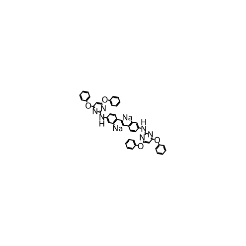 [Na][c]1cc(Nc2nc(Oc3ccccc3)cc(Oc3ccccc3)n2)ccc1C=Cc1ccc(Nc2nc(Oc3ccccc3)cc(Oc3ccccc3)n2)c[c]1[Na]